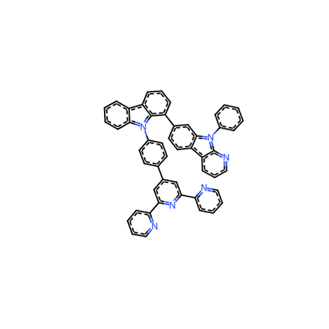 c1ccc(-n2c3cc(-c4cccc5c6ccccc6n(-c6ccc(-c7cc(-c8ccccn8)nc(-c8ccccn8)c7)cc6)c45)ccc3c3cccnc32)cc1